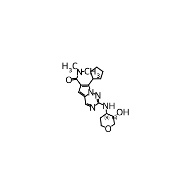 CN(C)C(=O)c1cc2cnc(N[C@@H]3CCOC[C@H]3O)nn2c1C1CCCC1